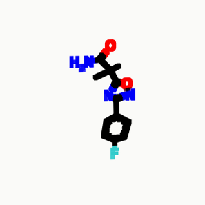 CC(C)(C(N)=O)c1nc(-c2ccc(F)cc2)no1